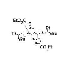 CCCCC(CC)COc1c2cc(C(=O)OCC)sc2cc2c(OCC(CC)CCCC)c3cc(C(=O)OCC)sc3cc12